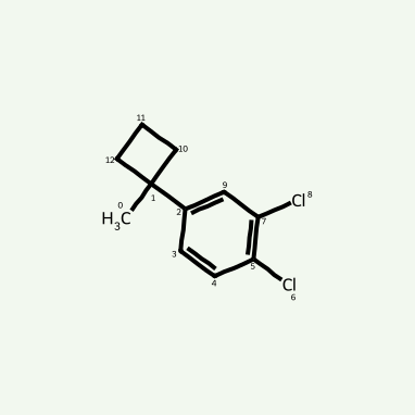 CC1(c2ccc(Cl)c(Cl)c2)CCC1